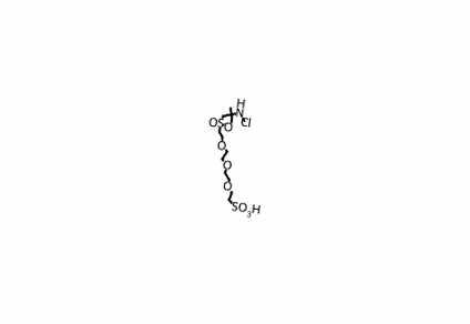 CC(C)(CS(=O)(=O)CCOCCOCCOCCS(=O)(=O)O)NCl